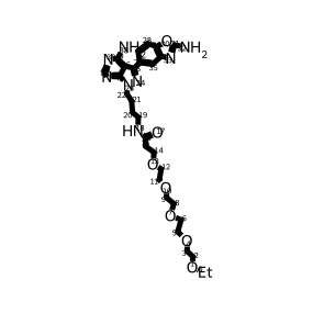 CCOCCOCCOCCOCCOCCC(=O)NCCCCn1nc(-c2ccc3oc(N)nc3c2)c2c(N)ncnc21